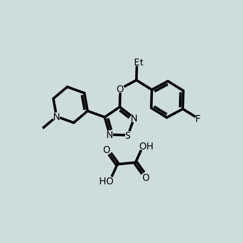 CCC(Oc1nsnc1C1=CCCN(C)C1)c1ccc(F)cc1.O=C(O)C(=O)O